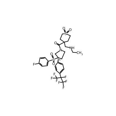 CCNCC1(C(=O)N2CC[C@](c3ccc(C(F)(C(F)(F)F)C(F)(F)F)cc3)(S(=O)(=O)c3ccc(F)cc3)C2)CCS(=O)(=O)CC1